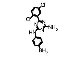 Bc1ccc(Nc2nc(N)nc(-c3cc(Cl)ccc3Cl)n2)cc1